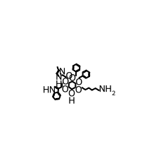 Cc1c[nH]c(C(=O)OC2C(OC(C)c3c[nH]c4ccccc34)C(O)C(OCCCCCCN)C(OCc3ccccc3)C2OCc2ccccc2)n1